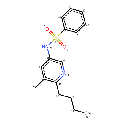 Cc1cc(NS(=O)(=O)c2ccccc2)cnc1CCCC#N